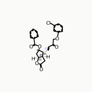 O=C(/C=C/[C@@H]1[C@H]2CC(=O)O[C@H]2C[C@H]1OC(=O)c1ccccc1)COc1cccc(Cl)c1